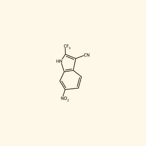 N#Cc1c(C(F)(F)F)[nH]c2cc([N+](=O)[O-])ccc12